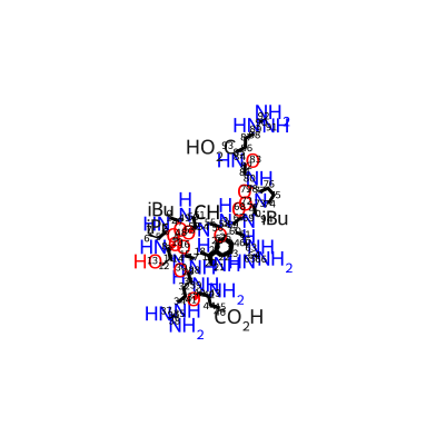 CC[C@H](C)[C@H](NC(=O)[C@H](CC(C)C)NC(=O)[C@H](CO)NC(=O)[C@H](Cc1c[nH]c2ccccc12)NC(=O)[C@H](CCCNC(=N)N)NC(=O)[C@@H](N)CCC(=O)O)C(=O)N[C@@H](C)C(=O)NCC(=O)N[C@@H](CCCNC(=N)N)C(=O)N[C@H](C(=O)N1CCC[C@H]1C(=O)NCC(=O)N[C@@H](CCCNC(=N)N)C(=O)O)[C@@H](C)CC